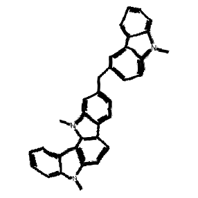 Cn1c2ccccc2c2cc(Cc3ccc4c5ccc6c(c7ccccc7n6C)c5n(C)c4c3)ccc21